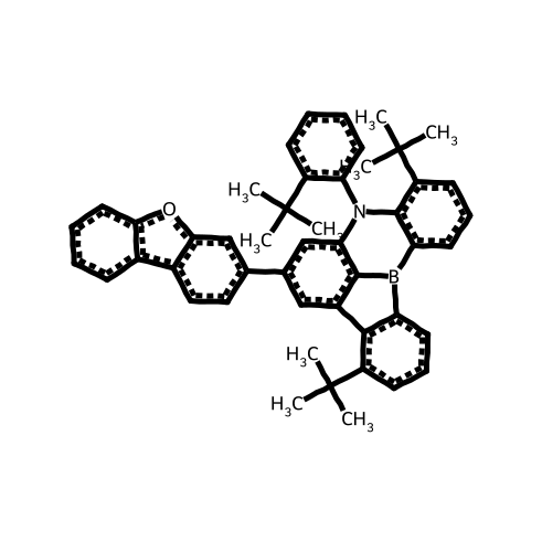 CC(C)(C)c1ccccc1N1c2cc(-c3ccc4c(c3)oc3ccccc34)cc3c2B(c2cccc(C(C)(C)C)c2-3)c2cccc(C(C)(C)C)c21